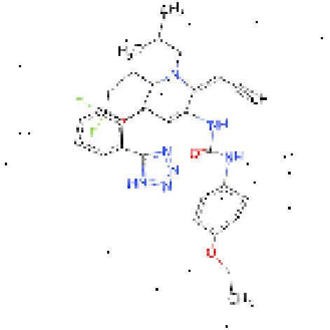 C#C/C=C(\C(=C/Cc1ccccc1-c1nnn[nH]1)NC(=O)Nc1ccc(OCC)cc1)N(CC(C)C)C1CCC(F)(F)CC1